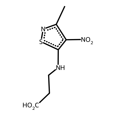 Cc1nsc(NCCC(=O)O)c1[N+](=O)[O-]